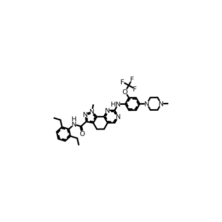 CCc1cccc(CC)c1NC(=O)c1nn(C)c2c1CCc1cnc(Nc3ccc(N4CCN(C)CC4)cc3OC(F)(F)F)nc1-2